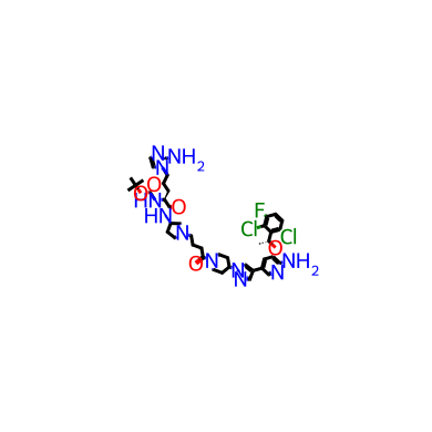 C[C@@H](Oc1cc(-c2cnn(C3CCN(C(=O)CCCN4CC[C@@H](NC(=O)[C@H](CCCn5ccnc5N)NC(=O)OC(C)(C)C)C4)CC3)c2)cnc1N)c1c(Cl)ccc(F)c1Cl